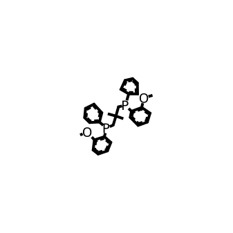 COc1ccccc1P(CC(C)(C)CP(c1ccccc1)c1ccccc1OC)c1ccccc1